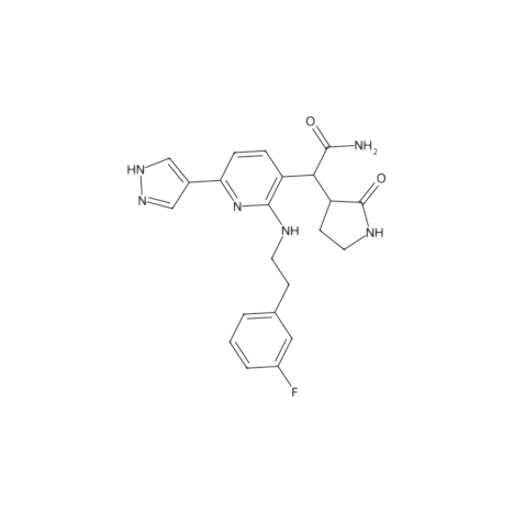 NC(=O)C(c1ccc(-c2cn[nH]c2)nc1NCCc1cccc(F)c1)C1CCNC1=O